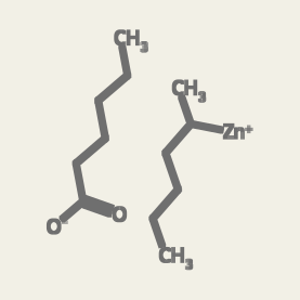 CCCCCC(=O)[O-].CCCC[CH](C)[Zn+]